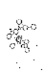 c1ccc(-c2ccc3c(c2)c2ccccc2n3-c2cc(-c3nc(-c4ccccc4)nc(-c4cccc5c4oc4ccccc45)n3)c3c(c2)sc2ccccc23)cc1